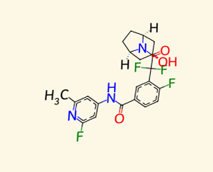 Cc1cc(NC(=O)c2ccc(F)c(C(F)(F)C(=O)N3[C@@H]4CC[C@H]3C[C@@H](O)C4)c2)cc(F)n1